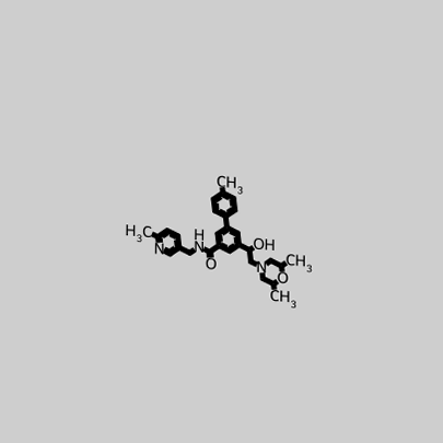 Cc1ccc(-c2cc(C(=O)NCc3ccc(C)nc3)cc(C(O)CN3CC(C)OC(C)C3)c2)cc1